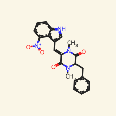 CN1C(=O)C(Cc2ccccc2)N(C)C(=O)/C1=C/c1c[nH]c2cccc([N+](=O)[O-])c12